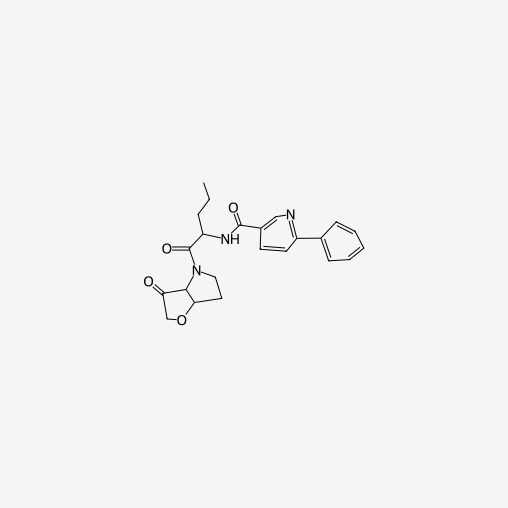 CCCC(NC(=O)c1ccc(-c2ccccc2)nc1)C(=O)N1CCC2OCC(=O)C21